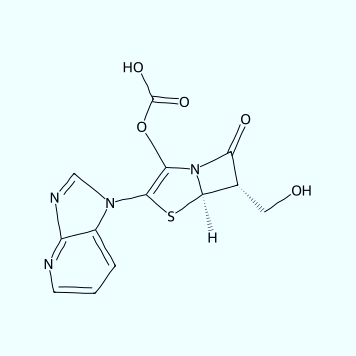 O=C(O)OC1=C(n2cnc3ncccc32)S[C@@H]2[C@@H](CO)C(=O)N12